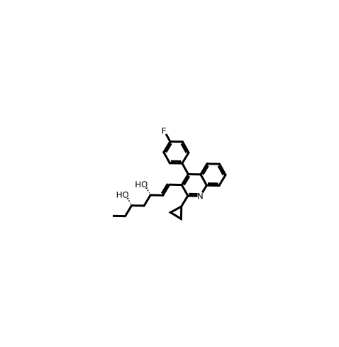 CC[C@H](O)C[C@H](O)/C=C/c1c(C2CC2)nc2ccccc2c1-c1ccc(F)cc1